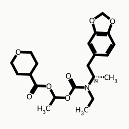 CCN(C(=O)OC(C)OC(=O)C1CCOCC1)[C@@H](C)Cc1ccc2c(c1)OCO2